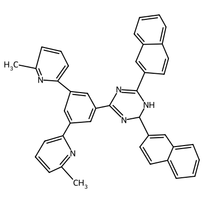 Cc1cccc(-c2cc(C3=NC(c4ccc5ccccc5c4)NC(c4ccc5ccccc5c4)=N3)cc(-c3cccc(C)n3)c2)n1